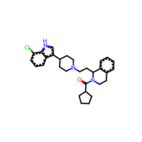 O=C(C1CCCC1)N1CCc2ccccc2C1CCN1CCC(c2c[nH]c3c(Cl)cccc23)CC1